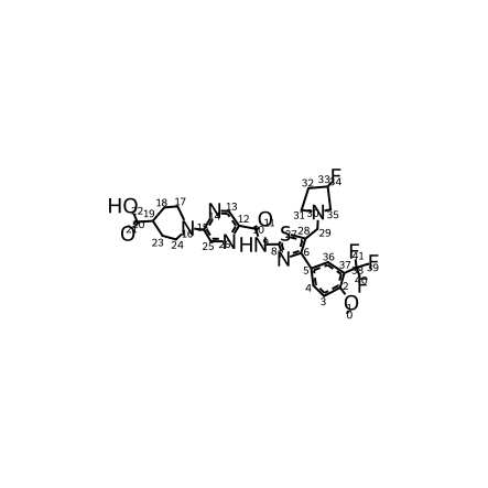 COc1ccc(-c2nc(NC(=O)c3cnc(N4CCC(C(=O)O)CC4)cn3)sc2CN2CCC(F)C2)cc1C(F)(F)F